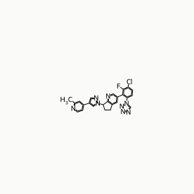 Cc1cc(-c2cnn(C3CCc4cc(-c5c(-n6cnnn6)ccc(Cl)c5F)cnc43)c2)ccn1